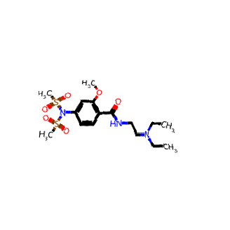 CCN(CC)CCNC(=O)c1ccc(N(S(C)(=O)=O)S(C)(=O)=O)cc1OC